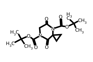 CC(C)(C)OC(=O)N1CC(=O)N(C(=O)OC(C)(C)C)C2(CC2)C1=O